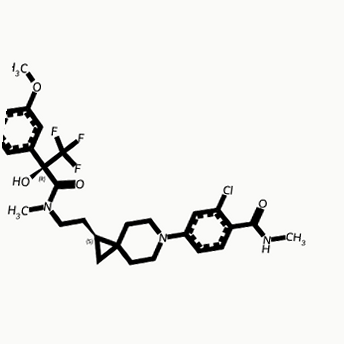 CNC(=O)c1ccc(N2CCC3(CC2)C[C@H]3CCN(C)C(=O)[C@](O)(c2cccc(OC)c2)C(F)(F)F)cc1Cl